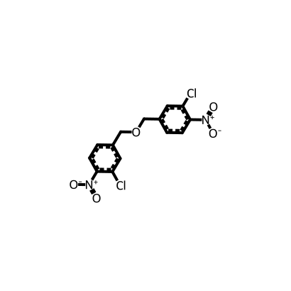 O=[N+]([O-])c1ccc(COCc2ccc([N+](=O)[O-])c(Cl)c2)cc1Cl